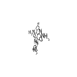 CCc1cc(Cn2nc(C)c(-c3c(C(N)=O)nc4cc(F)ccc4c3C(N)=O)c2C)on1